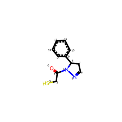 O=C(CS)N1N=CCC1c1ccccc1